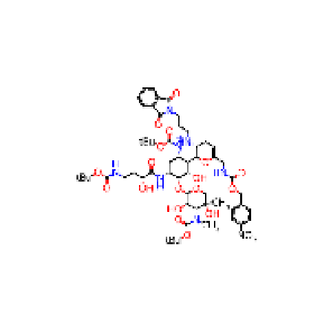 CN(C(=O)OC(C)(C)C)[C@@H]1[C@@H](O)[C@@H](O[C@@H]2[C@@H](O)[C@H](C3OC(CNC(=O)OCc4ccc([N+](=O)[O-])cc4)=CC[C@H]3NCCCN3C(=O)c4ccccc4C3=O)[C@@H](NC(=O)OC(C)(C)C)C[C@H]2NC(=O)[C@@H](O)CCNC(=O)OC(C)(C)C)OC[C@]1(C)O